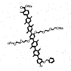 CCCOCCOCCOc1cc(-c2cc(C)c(-c3cc(C)c(-c4ccc(C(=O)OC)c(C)c4)cc3C)cc2C)c(OCCOCCOCCOC)cc1-c1cc(C)c(-c2cc(C)c(-c3ccc(C(C)=O)c(OCc4ccccc4)c3)cc2C)cc1C